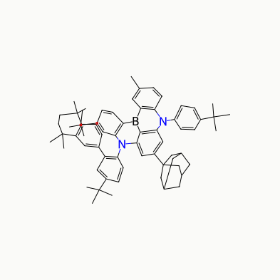 Cc1ccc2c(c1)B1c3ccc(C(C)(C)C)cc3N(c3ccc(C(C)(C)C)cc3-c3ccc4c(c3)C(C)(C)CCC4(C)C)c3cc(C45CC6CC(CC(C6)C4)C5)cc(c31)N2c1ccc(C(C)(C)C)cc1